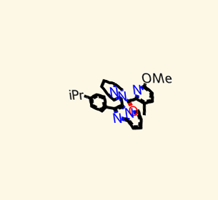 COc1ccc(C)c(C(=O)N2CC3CCC(C2)N3Cc2c(-c3ccc(C(C)C)cc3)nc3ccccn23)n1